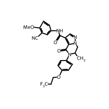 COc1ccc(NC(=O)c2cnn3c2C(=O)N(c2ccc(OCCC(F)(F)F)cc2)C(C)C3)cc1C#N